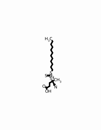 CCCCCCCCCCCC[SH2]C(=S)[SH2]C(C)(C#N)CCC(=O)O